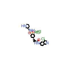 Cl.Cl.O=C(Nc1ccc2cncc(Cl)c2c1)[C@@H]1C[C@H]1c1ccc(S(=O)(=O)NC[C@@H]2CCCNC2)cc1